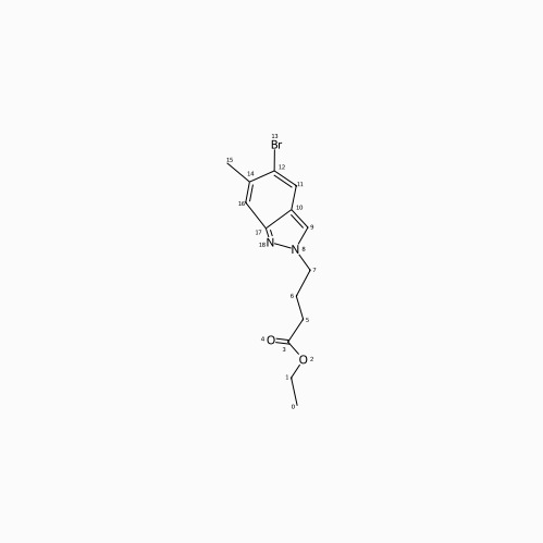 CCOC(=O)CCCn1cc2cc(Br)c(C)cc2n1